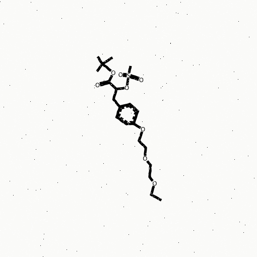 CCOCCOCCOc1ccc(CC(OS(C)(=O)=O)C(=O)OC(C)(C)C)cc1